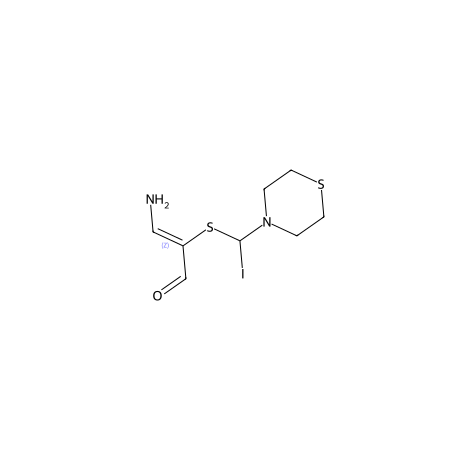 N/C=C(/C=O)SC(I)N1CCSCC1